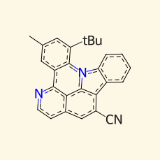 Cc1cc(C(C)(C)C)c2c(c1)c1nccc3cc(C#N)c4c5ccccc5n2c4c31